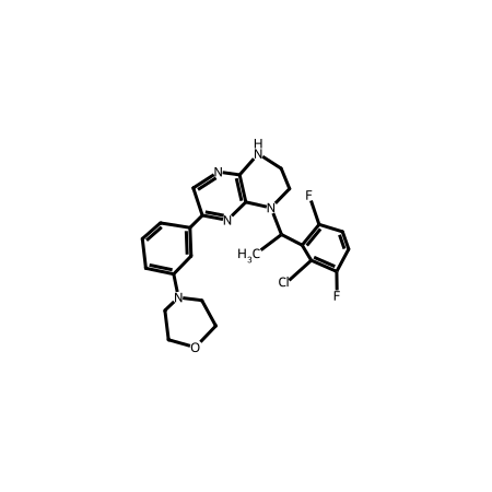 CC(c1c(F)ccc(F)c1Cl)N1CCNc2ncc(-c3cccc(N4CCOCC4)c3)nc21